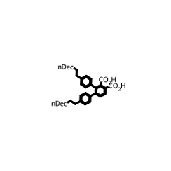 CCCCCCCCCCCCc1ccc(-c2ccc(C(=O)O)c(C(=O)O)c2-c2ccc(CCCCCCCCCCCC)cc2)cc1